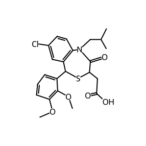 COc1cccc(C2SC(CC(=O)O)C(=O)N(CC(C)C)c3ccc(Cl)cc32)c1OC